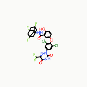 O=C(NC12CC3(F)CC(F)(CC(F)(C3)C1)C2)c1cc(Oc2c(Cl)cc(-n3nc(C(F)F)c(=O)[nH]c3=O)cc2Cl)ccc1O